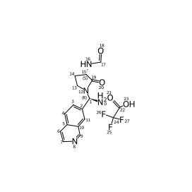 N[C@@H](c1ccc2ccncc2c1)N1CC[C@H](NC=O)C1=O.O=C(O)C(F)(F)F